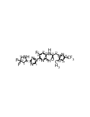 [2H]c1nc(-n2cnc([C@@H]3CC(F)(F)CN3)n2)c(F)cc1NC(=O)Cn1nc(C(F)(F)F)cc1C